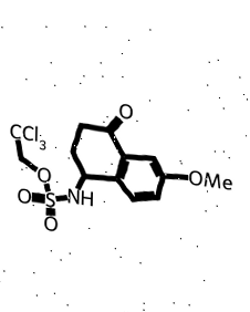 COc1ccc2c(c1)C(=O)CCC2NS(=O)(=O)OCC(Cl)(Cl)Cl